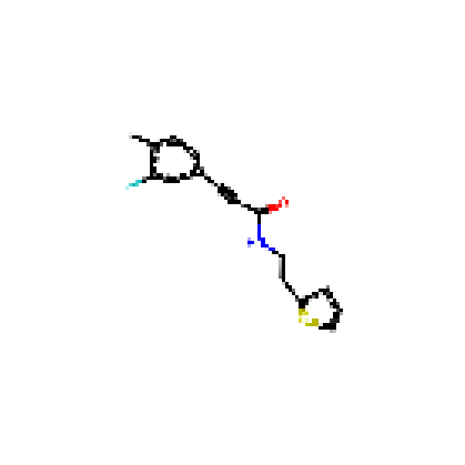 Cc1ccc(C#CC(=O)NCCc2cccs2)cc1F